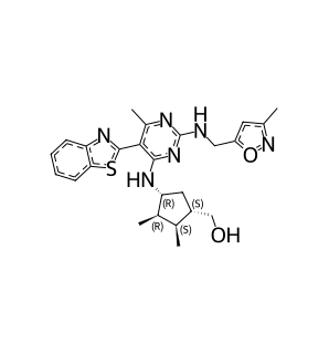 Cc1cc(CNc2nc(C)c(-c3nc4ccccc4s3)c(N[C@@H]3C[C@H](CO)[C@@H](C)[C@H]3C)n2)on1